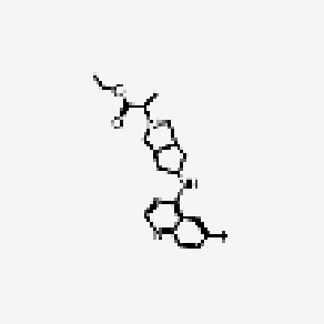 CCOC(=O)C(C)N1CC2CC(Nc3ccnc4ccc(F)cc34)CC2C1